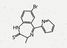 CC1N=C(c2ccccn2)c2cc(Br)ccc2NC1=S